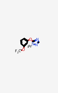 CC(C)n1ncnc1Oc1cccc(OC(F)(F)F)c1